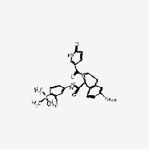 COc1ccc2c(c1)CCN(C(=O)c1ccc(=O)[nH]c1)C2C(=O)Nc1ccc(S(C)(C)C)c(F)c1